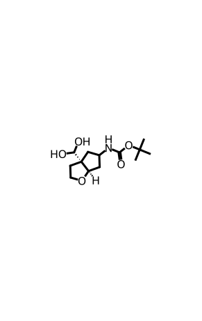 CC(C)(C)OC(=O)NC1C[C@H]2OCC[C@@]2(C(O)O)C1